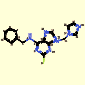 Fc1nc(NCc2ccccc2)c2ncn(Cn3ccnc3)c2n1